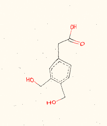 O=C(O)Cc1ccc(CO)c(CO)c1